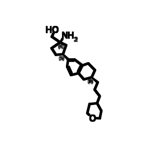 N[C@]1(CO)CC[C@H](c2ccc3c(c2)CC[C@@H](CCCC2CCOCC2)C3)C1